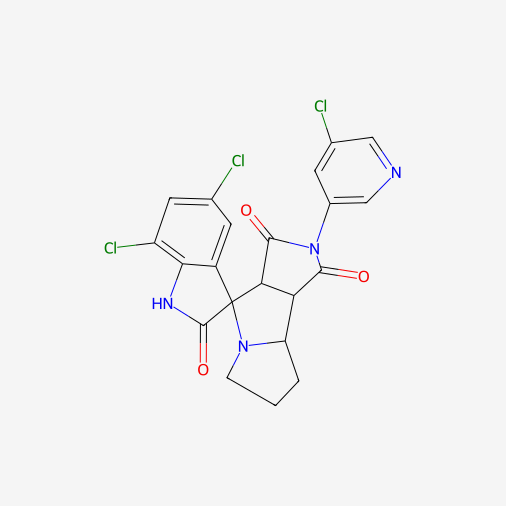 O=C1C2C3CCCN3C3(C(=O)Nc4c(Cl)cc(Cl)cc43)C2C(=O)N1c1cncc(Cl)c1